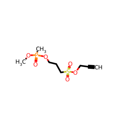 C#CCOS(=O)(=O)CCCOP(C)(=O)OC